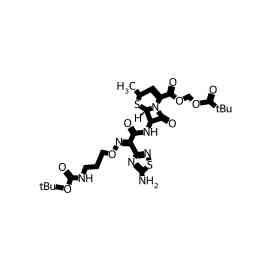 CC1C=C(C(=O)OCOC(=O)C(C)(C)C)N2C(=O)C(NC(=O)/C(=N/OCCCNC(=O)OC(C)(C)C)c3nsc(N)n3)[C@H]2S1